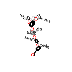 COCOc1cc(OCOC)c(C=O)c(OCOC)c1.COCOc1ccc(COc2cc(C3CO3)ccc2OC)cc1OC